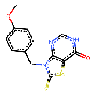 COc1ccc(Cn2c(=S)sc3c(=O)[nH]cnc32)cc1